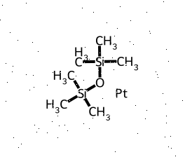 C[Si](C)(C)O[Si](C)(C)C.[Pt]